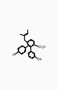 CC=C(C)Cc1ccc(S(=O)(=O)O)c(-c2cccc(C#N)c2)c1-c1ccc(Cl)cc1